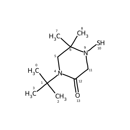 CC(C)(C)N1CC(C)(C)N(S)CC1=O